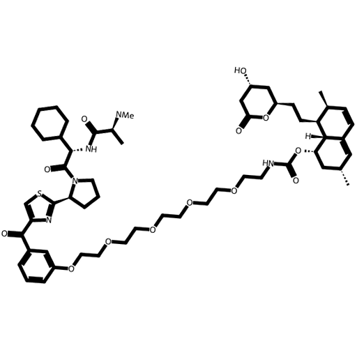 CN[C@@H](C)C(=O)N[C@H](C(=O)N1CCC[C@H]1c1nc(C(=O)c2cccc(OCCOCCOCCOCCOCCNC(=O)O[C@H]3C[C@@H](C)C=C4C=C[C@H](C)[C@H](CC[C@@H]5C[C@@H](O)CC(=O)O5)[C@H]43)c2)cs1)C1CCCCC1